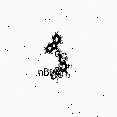 CCCCOP(C)(=O)O[C@@H]1OC(CC(=O)OCC2c3ccccc3-c3ccccc32)[C@@H](C)[C@H](C)C1C